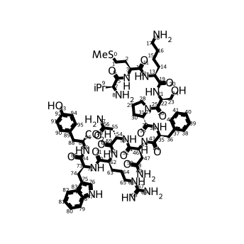 CSCC[C@H](NC(=O)[C@@H](N)C(C)C)C(=O)N[C@@H](CCCCN)C(=O)N[C@@H](CO)C(=O)N1CCC[C@H]1C(=O)N[C@@H](Cc1ccccc1)C(=O)N[C@@H](CC(N)=O)C(=O)N[C@@H](CC(N)=O)C(=O)N[C@@H](CCCNC(=N)N)C(=O)N[C@@H](Cc1c[nH]c2ccccc12)C(=O)N[C@@H](Cc1ccc(O)cc1)C(=O)O